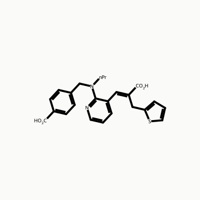 CCCN(Cc1ccc(C(=O)O)cc1)c1ncccc1C=C(Cc1cccs1)C(=O)O